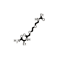 CCC(=O)NCCOCCOCC(=O)N[C@@H](CC)C(N)=O